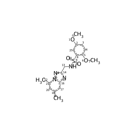 COc1ccc(OC)c(S(=O)(=O)NCc2nc3cc(C)cc(C)n3n2)c1